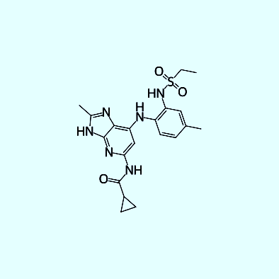 CCS(=O)(=O)Nc1cc(C)ccc1Nc1cc(NC(=O)C2CC2)nc2[nH]c(C)nc12